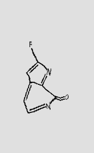 O=C1N=CC=C2C=C(F)N=C12